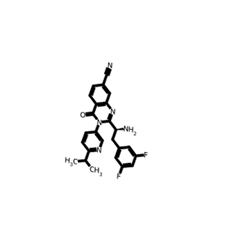 CC(C)c1ccc(-n2c([C@@H](N)Cc3cc(F)cc(F)c3)nc3cc(C#N)ccc3c2=O)cn1